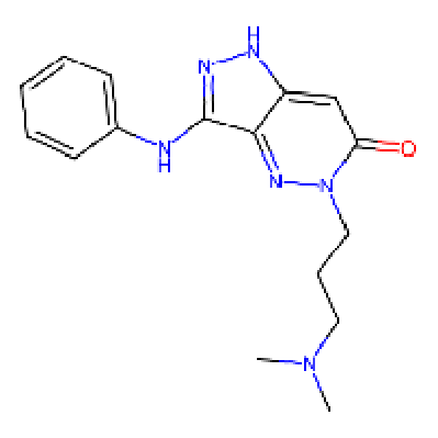 CN(C)CCCn1nc2c(Nc3ccccc3)n[nH]c2cc1=O